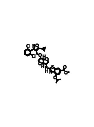 COC(=O)c1cc(OC(C)C)c2nc(NC3CO[C@@H]4C(OCc5c(-c6c(Cl)cccc6Cl)noc5C5CC5)CO[C@H]34)sc2c1